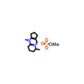 CC1CCCC2=[N+]1CC1=C(CCC1)N2C.COS(=O)(=O)[O-]